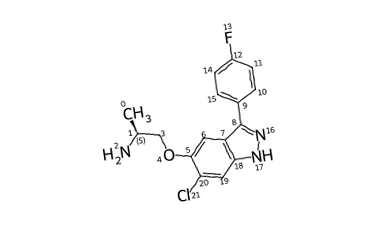 C[C@H](N)COc1cc2c(-c3ccc(F)cc3)n[nH]c2cc1Cl